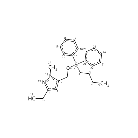 CCCC[Si](OCc1cc(CO)nn1C)(c1ccccc1)c1ccccc1